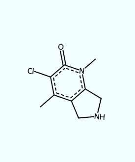 Cc1c2c(n(C)c(=O)c1Cl)CNC2